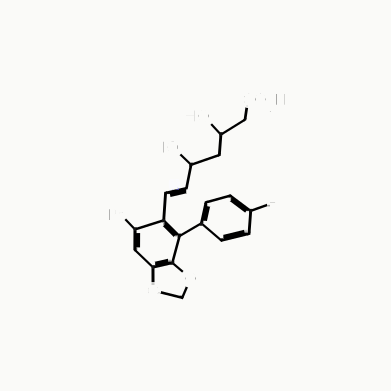 CC(C)c1cc2c(c(-c3ccc(F)cc3)c1/C=C/C(O)CC(O)CC(=O)O)OCO2